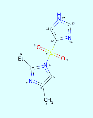 CCc1nc(C)cn1S(=O)(=O)c1c[nH]cn1